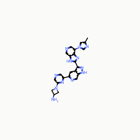 Cc1cn(-c2cncc3[nH]c(-c4n[nH]c5cnc(-c6cncc(N7CC(N)C7)n6)cc45)nc23)cn1